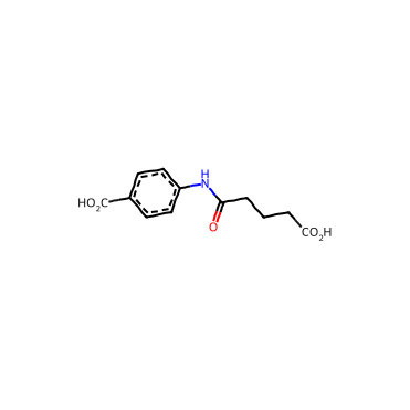 O=C(O)CCCC(=O)Nc1ccc(C(=O)O)cc1